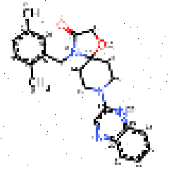 Cc1ccc(C)c(CN2C(=O)COC23CCN(c2cnc4ccccc4n2)CC3)c1